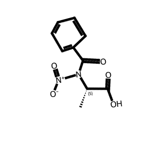 C[C@@H](C(=O)O)N(C(=O)c1ccccc1)[N+](=O)[O-]